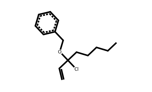 C=CC(Cl)(CCCCC)OCc1ccccc1